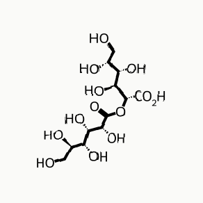 O=C(O[C@@H](C(=O)O)[C@@H](O)[C@@H](O)[C@H](O)CO)[C@H](O)[C@@H](O)[C@H](O)[C@H](O)CO